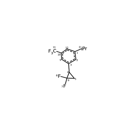 CC(C)c1cc(C2CC2(F)F)cc(C(F)(F)F)c1